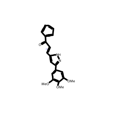 COc1cc(-c2cc(/C=C/C(=O)c3ccccc3)[nH]n2)cc(OC)c1OC